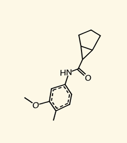 COc1cc(NC(=O)C2C3CCCC32)ccc1C